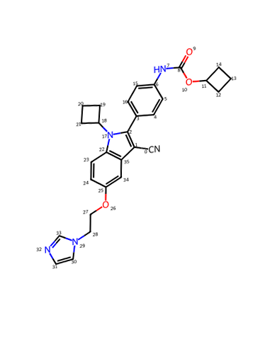 N#Cc1c(-c2ccc(NC(=O)OC3CCC3)cc2)n(C2CCC2)c2ccc(OCCn3ccnc3)cc12